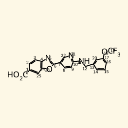 O=C(O)c1ccc2nc(-c3ccc(NCc4cccc(OC(F)(F)F)c4)nc3)oc2c1